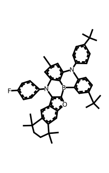 Cc1cc2c3c(c1)N(c1ccc(F)cc1)c1c(oc4cc5c(cc14)C(C)(C)CCC5(C)C)B3c1cc(C(C)(C)C)ccc1N2c1ccc(C(C)(C)C)cc1